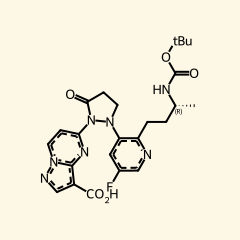 C[C@H](CCc1ncc(F)cc1N1CCC(=O)N1c1ccn2ncc(C(=O)O)c2n1)NC(=O)OC(C)(C)C